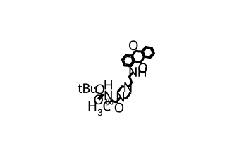 C[C@H](NC(=O)OC(C)(C)C)C(=O)N1CCN(CCNc2cccc3c2C(=O)c2ccccc2C3=O)CC1